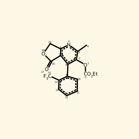 CCOC(=O)Oc1c(C)nc2c(c1-c1ccccc1C(F)(F)F)C(=O)OC2